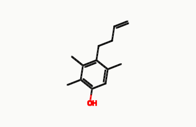 C=CCCc1c(C)cc(O)c(C)c1C